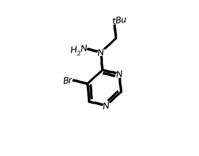 CC(C)(C)CN(N)c1ncncc1Br